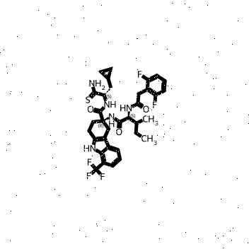 CCC(C)[C@H](NC(=O)Cc1c(F)cccc1F)C(=O)N[C@]1(C(=O)N[C@@H](CC2CC2)C(N)=S)CCc2[nH]c3c(C(F)(F)F)cccc3c2C1